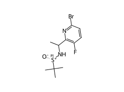 CC(N[S@@+]([O-])C(C)(C)C)c1nc(Br)ccc1F